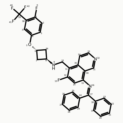 Fc1ccc(O[C@H]2C[C@H](NCc3c(F)cc(N=C(c4ccccc4)c4ccccc4)c4cnccc34)C2)cc1C(F)(F)F